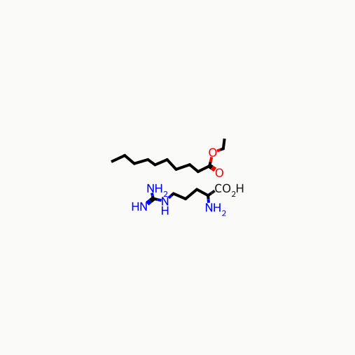 CCCCCCCCCC(=O)OCC.N=C(N)NCCCC(N)C(=O)O